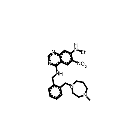 CCNc1cc2ncnc(NCc3ccccc3CN3CCCN(C)CC3)c2cc1[N+](=O)[O-]